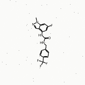 Cn1ncc2c(NC(=O)NCc3ccc(C(F)(F)F)cc3)cc(F)cc21